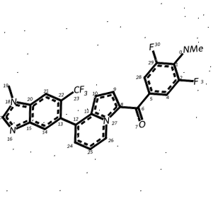 CNc1c(F)cc(C(=O)c2ccc3c(-c4cc5ncn(C)c5cc4C(F)(F)F)cccn23)cc1F